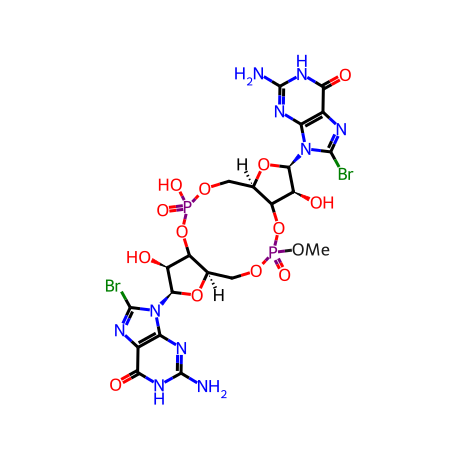 COP1(=O)OC[C@H]2O[C@@H](n3c(Br)nc4c(=O)[nH]c(N)nc43)[C@@H](O)C2OP(=O)(O)OC[C@H]2O[C@@H](n3c(Br)nc4c(=O)[nH]c(N)nc43)[C@@H](O)C2O1